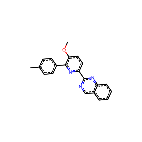 COc1ccc(-c2ncc3ccccc3n2)nc1-c1ccc(C)cc1